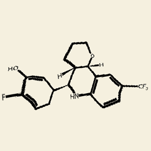 OC1=CC([C@@H]2Nc3ccc(C(F)(F)F)cc3[C@H]3OCCC[C@H]32)CC=C1F